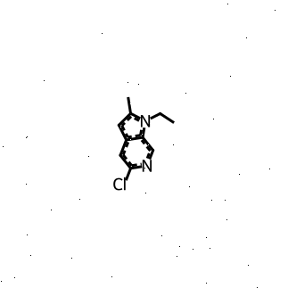 CCn1c(C)cc2cc(Cl)ncc21